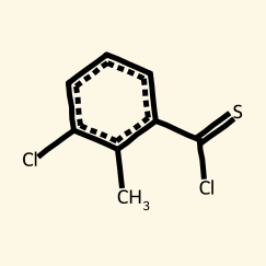 Cc1c(Cl)cccc1C(=S)Cl